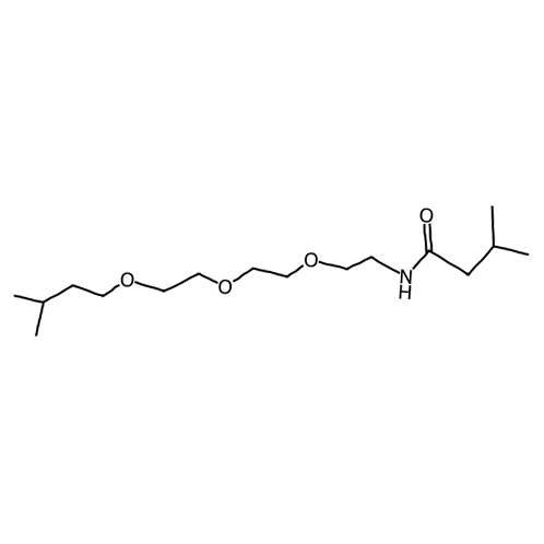 CC(C)CCOCCOCCOCCNC(=O)CC(C)C